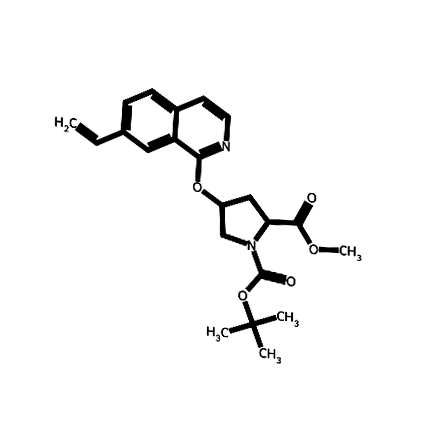 C=Cc1ccc2ccnc(OC3CC(C(=O)OC)N(C(=O)OC(C)(C)C)C3)c2c1